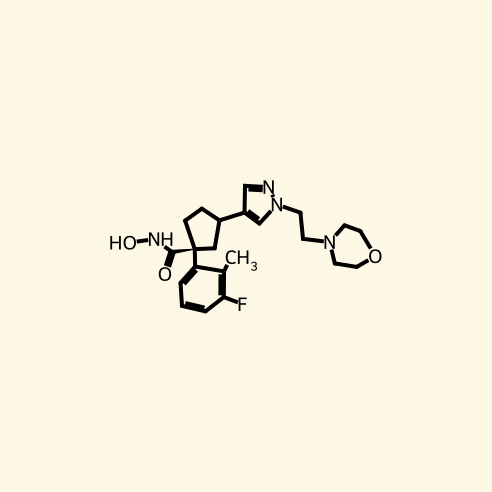 Cc1c(F)cccc1[C@]1(C(=O)NO)CCC(c2cnn(CCN3CCOCC3)c2)C1